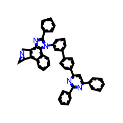 c1ccc(-c2cc(-c3ccc(-c4cccc(-n5c(-c6ccccc6)nc6c7c(c8ccccc8c65)C5CN5C7)c4)cc3)nc(-c3ccccc3)n2)cc1